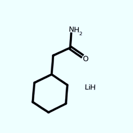 NC(=O)CC1CCCCC1.[LiH]